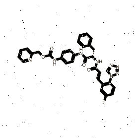 O=C(C=Cc1cc(Cl)ccc1-n1cnnn1)N[C@@H](Cc1ccccc1)C(=O)Nc1ccc(NC(=O)OCc2ccccn2)cc1